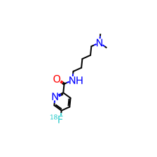 CN(C)CCCCCNC(=O)c1ccc([18F])cn1